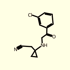 N#CCC1(NCC(=O)c2cccc(Cl)c2)CC1